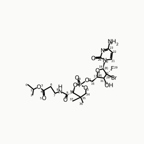 CC(C)OC(=O)CCNC(=O)[C@@H]1OP(=O)(OC[C@H]2O[C@@H](n3ccc(N)nc3=O)[C@@](F)(Br)C2O)OCC1(C)C